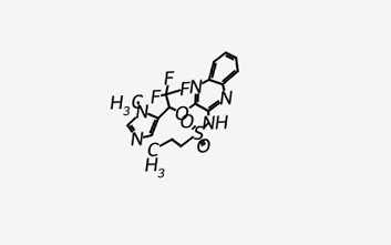 CCCS(=O)(=O)Nc1nc2ccccc2nc1OC(c1cncn1C)C(F)(F)F